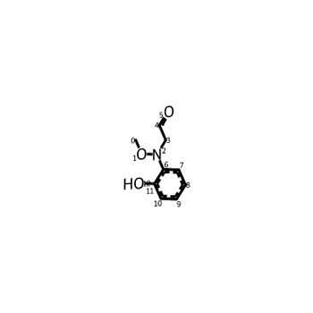 CON(C[C]=O)c1ccccc1O